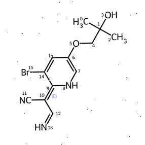 CC(C)(O)COC1=CN/C(=C(/C#N)C=N)C(Br)=C1